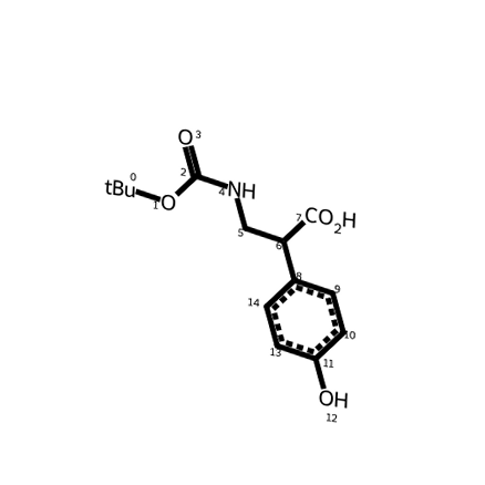 CC(C)(C)OC(=O)NCC(C(=O)O)c1ccc(O)cc1